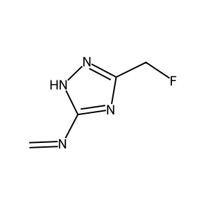 C=Nc1nc(CF)n[nH]1